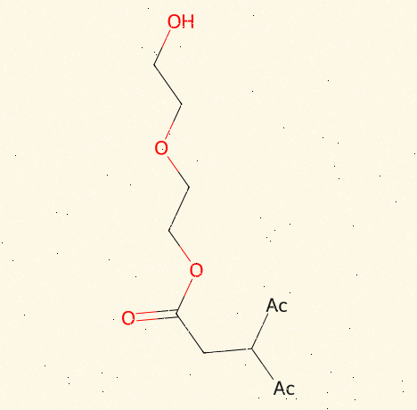 CC(=O)C(CC(=O)OCCOCCO)C(C)=O